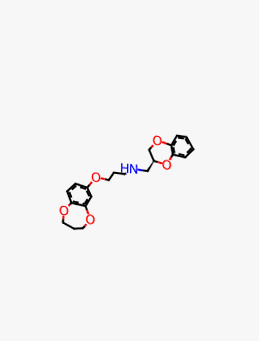 c1ccc2c(c1)OC[C@H](CNCCCOc1ccc3c(c1)OCCCO3)O2